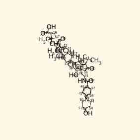 CC(C)C1=C2[C@H]3CC[C@@H]4[C@@]5(C)CC[C@H](OC(=O)[C@H]6C[C@@H](C(=O)O)C6(C)C)C(C)(C)[C@@H]5CC[C@@]4(C)[C@]3(C)CC[C@@]2([C@@H](O)CNC(=O)c2ccc(N3CCC(O)CC3)cc2)CC1=O